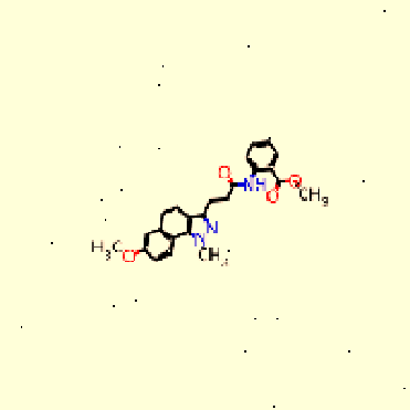 COC(=O)c1ccccc1NC(=O)CCc1nn(C)c2c1CCc1cc(OC)ccc1-2